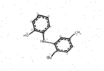 Cc1ccc(C(C)(C)C)c(Nc2ccccc2O)c1